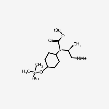 CNC[C@H](C)N(C(=O)OC(C)(C)C)C1CCC(O[Si](C)(C)C(C)(C)C)CC1